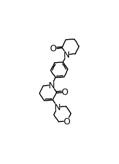 O=C1CCCCN1c1ccc(N2CCC=C(N3CCOCC3)C2=O)cc1